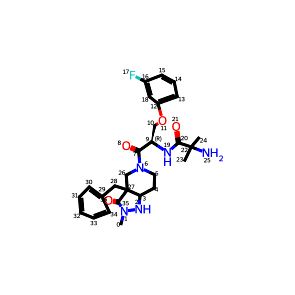 CN1NC2CCN(C(=O)[C@@H](COc3cccc(F)c3)NC(=O)C(C)(C)N)CC2(Cc2ccccc2)C1=O